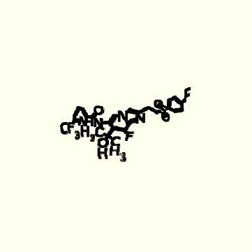 CC(C)(O)c1c(NC(=O)c2cccc(C(F)(F)F)n2)cn2cc(CCS(=O)(=O)c3ccc(F)cc3)nc2c1F